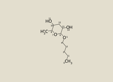 CCCCCOC1OC(C)C(O)CC1O